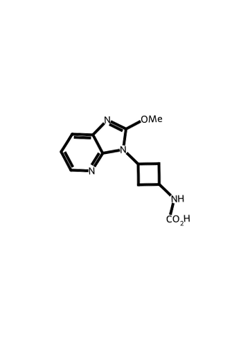 COc1nc2cccnc2n1C1CC(NC(=O)O)C1